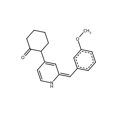 COc1cccc(C=C2C=C(C3CCCCC3=O)C=CN2)c1